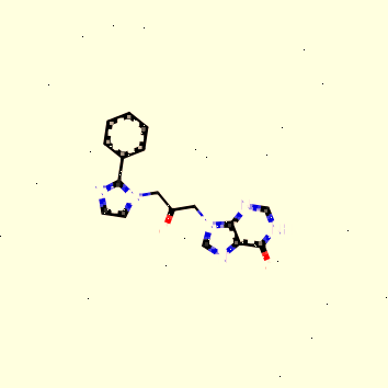 O=C(Cn1ccnc1-c1ccccc1)Cn1cnc2c(=O)[nH]cnc21